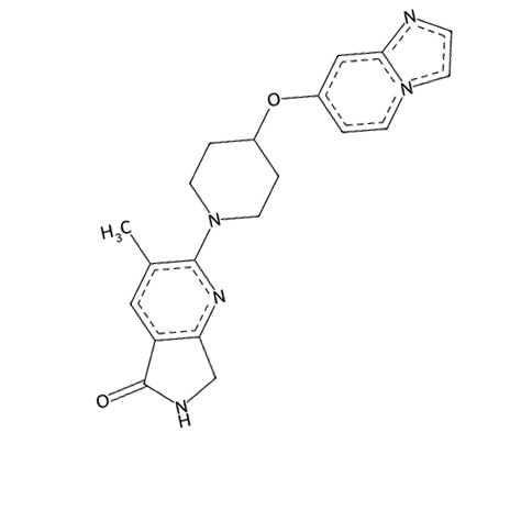 Cc1cc2c(nc1N1CCC(Oc3ccn4ccnc4c3)CC1)CNC2=O